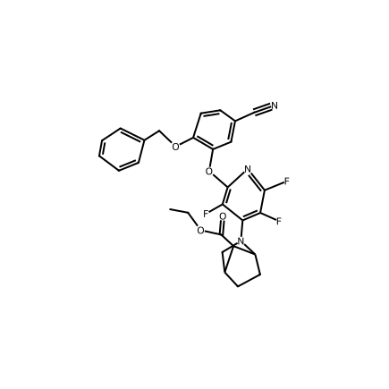 CCOC(=O)C1C2CCC1N(c1c(F)c(F)nc(Oc3cc(C#N)ccc3OCc3ccccc3)c1F)C2